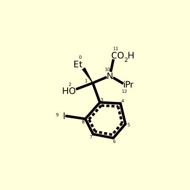 CC[C@](O)(c1ccccc1I)N(C(=O)O)C(C)C